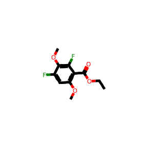 CCOC(=O)c1c(OC)cc(F)c(OC)c1F